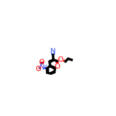 CCCOC(=O)C(C#N)=Cc1ccccc1[N+](=O)[O-]